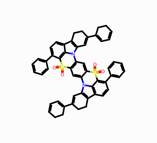 O=S1(=O)c2cc3c(cc2-n2c4c(c5ccc(-c6ccccc6)c1c52)CCC(C1=CC=CCC1)=C4)S(=O)(=O)c1c(-c2ccccc2)ccc2c4c(n-3c12)C=C(C1=CC=CCC1)CC4